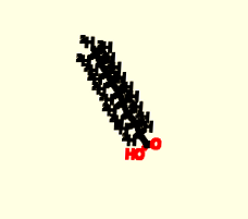 [2H]C([2H])([2H])C([2H])([2H])C([2H])([2H])C([2H])([2H])C([2H])([2H])C([2H])([2H])C([2H])([2H])C([2H])([2H])C([2H])([2H])C(=O)O